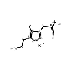 Cc1c(CCO)sc[n+]1CC(N)=O.[Br-]